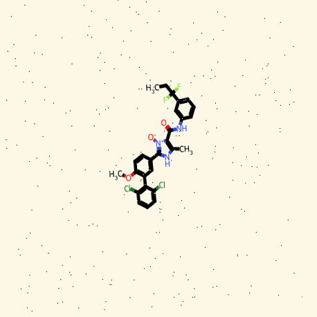 CCC(F)(F)c1cccc(NC(=O)c2c(C)[nH]c(-c3ccc(OC)c(-c4c(Cl)cccc4Cl)c3)[n+]2[O-])c1